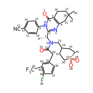 C[C@H](c1nc2c(c(=O)n1-c1ccc(C#N)cc1)CCC(C)(C)C2)N(CC1CCS(=O)(=O)CC1)C(=O)Cc1ccc(F)c(C(F)(F)F)c1